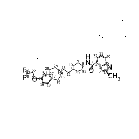 Cn1cc2c(C(=O)N[C@H]3CC[C@H](CCN4CCc5ccc(OCC(F)F)nc5CC4)CC3)cccc2n1